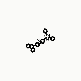 c1ccc(-c2nc(-c3ccccc3)nc(-c3ccc4c(c3)sc3cc(-c5cc6ccccc6c6ccccc56)ccc34)n2)cc1